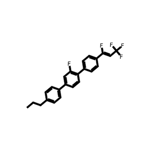 CCCc1ccc(-c2ccc(-c3ccc(/C(F)=C/C(F)(F)F)cc3)c(F)c2)cc1